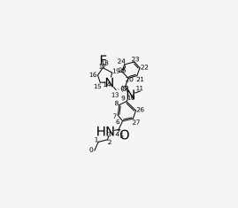 CCCNC(=O)c1ccc(N(C)[C@H](CN2CCC(F)C2)c2ccccc2)cc1